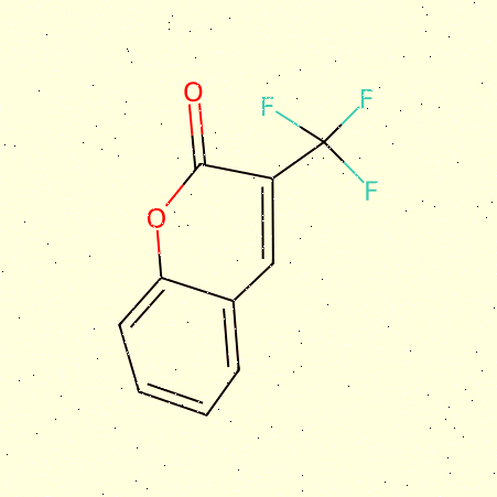 O=c1oc2ccccc2cc1C(F)(F)F